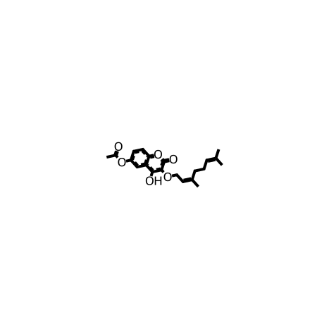 CC(=O)Oc1ccc2oc(=O)c(OCC=C(C)CCC=C(C)C)c(O)c2c1